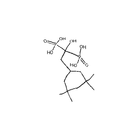 CC1(C)CC(CC(O)(P(=O)(O)O)P(=O)(O)O)CC(C)(C)C1